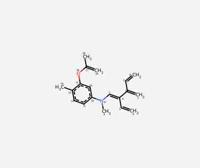 C=CC(=C)/C(C=C)=C/N(C)c1ccc(C)c(OC(=C)C)c1